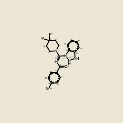 O=C(/N=C(/N1CCC(F)(F)CC1)N1NNc2ccccc21)c1ccc(Br)cc1